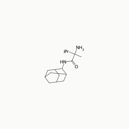 CC(C)C(C)(N)C(=O)NC1C2CC3CC(C2)CC1C3